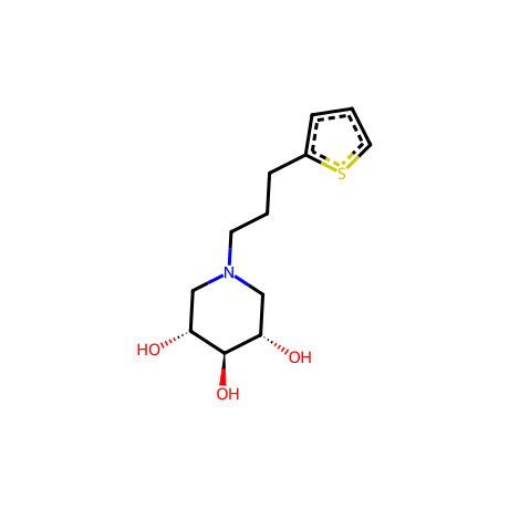 O[C@H]1[C@H](O)CN(CCCc2cccs2)C[C@@H]1O